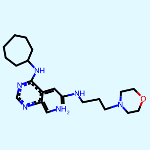 C=C(/C=c1/c(NC2CCCCCC2)ncn/c1=C/N)NCCCN1CCOCC1